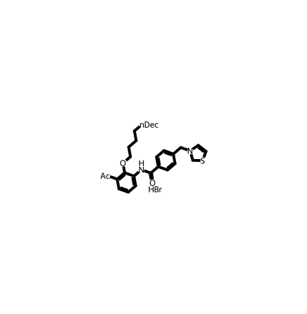 Br.CCCCCCCCCCCCCCOc1c(NC(=O)c2ccc(CN3C=CSC3)cc2)cccc1C(C)=O